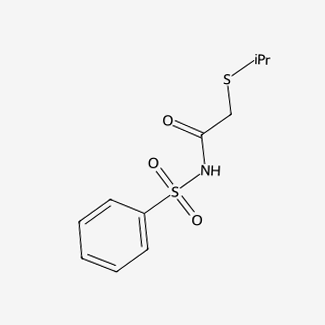 CC(C)SCC(=O)NS(=O)(=O)c1ccccc1